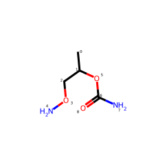 CC(CON)OC(N)=O